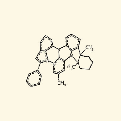 Cc1cc2c3c(c1)-n1c(-c4ccccc4)cc4cccc(c41)B3c1cccc3c1N2C1(C)CCCCC31C